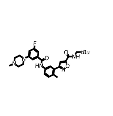 Cc1ccc(NC(=O)c2cc(F)cc(N3CCN(C)CC3)c2)cc1-c1cc(C(=O)NCC(C)(C)C)on1